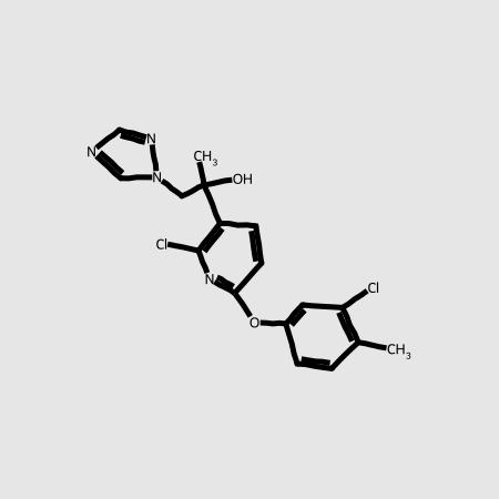 Cc1ccc(Oc2ccc(C(C)(O)Cn3cncn3)c(Cl)n2)cc1Cl